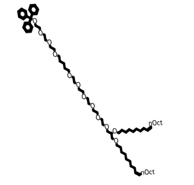 CCCCCCCC/C=C\CCCCCCCCOCC(COCCOCCOCCOCCOCCOCCCCCOCCOCCOCCOC(c1ccccc1)(c1ccccc1)c1ccccc1)OCCCCCCCC/C=C\CCCCCCCC